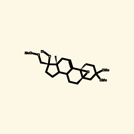 CCO[C@@]1(COOC)CCC2C3CC[C@@]45CC(OC)(OC)CC[C@@]4(O5)C3=CC[C@@]21C